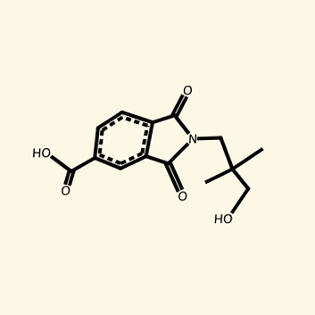 CC(C)(CO)CN1C(=O)c2ccc(C(=O)O)cc2C1=O